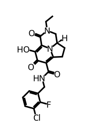 CCN1C[C@@H]2CCc3c(C(=O)NCc4cccc(Cl)c4F)c(=O)c(O)c(n32)C1=O